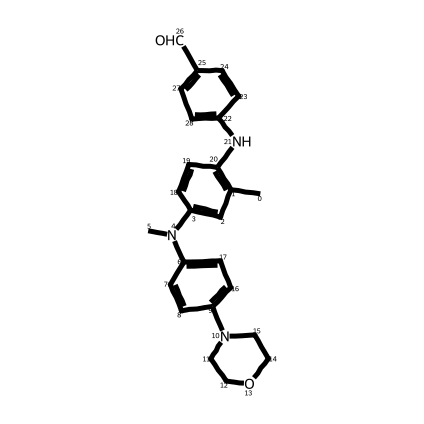 Cc1cc(N(C)c2ccc(N3CCOCC3)cc2)ccc1Nc1ccc(C=O)cc1